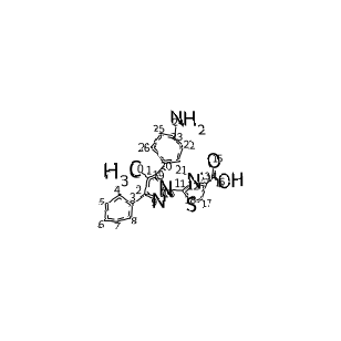 Cc1c(-c2ccccc2)nn(-c2nc(C(=O)O)cs2)c1-c1ccc(N)cc1